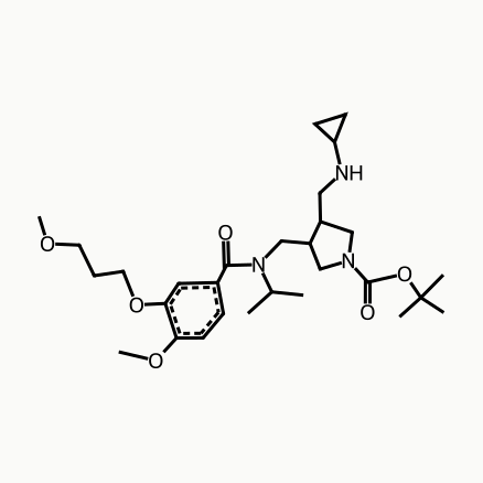 COCCCOc1cc(C(=O)N(CC2CN(C(=O)OC(C)(C)C)CC2CNC2CC2)C(C)C)ccc1OC